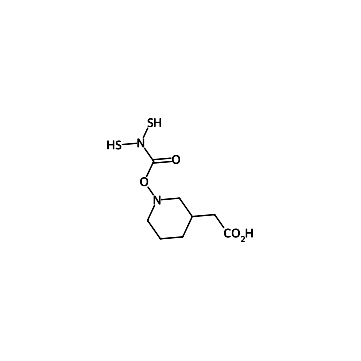 O=C(O)CC1CCCN(OC(=O)N(S)S)C1